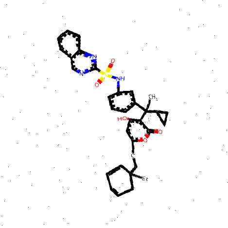 CCC1(CCc2cc(O)c(C(C)(c3cccc(NS(=O)(=O)c4ncc5ccccc5n4)c3)C3CC3)c(=O)o2)C=CC=CC1